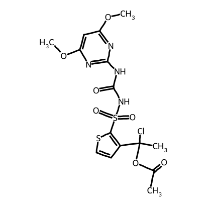 COc1cc(OC)nc(NC(=O)NS(=O)(=O)c2sccc2C(C)(Cl)OC(C)=O)n1